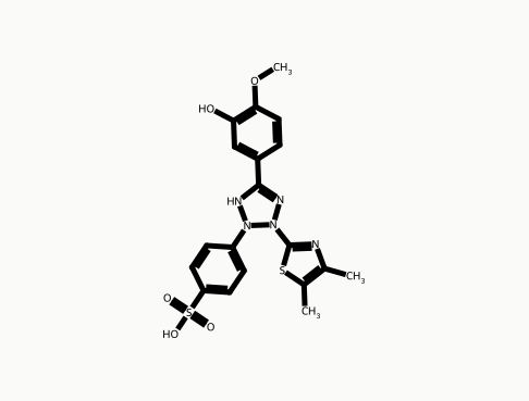 COc1ccc(C2=NN(c3nc(C)c(C)s3)N(c3ccc(S(=O)(=O)O)cc3)N2)cc1O